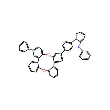 c1ccc(-c2ccc3c(c2)-c2ccccc2Oc2ccccc2-c2ccc(-c4ccc5c6ccccc6n(-c6ccccc6)c5c4)cc2O3)cc1